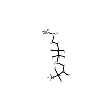 CC(COC(C)(C)C(C)(C)CCOC(C)(C)C)C(C)(C)N